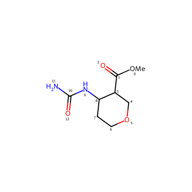 COC(=O)C1COCCC1NC(N)=O